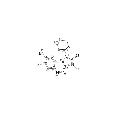 Cn1c(=O)n([C@H]2CCCOC2)c2c3cc(Br)c(F)cc3ncc21